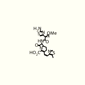 CO/N=C(/C(=O)NC1C(=O)N2C(C(=O)O)=C(/C=C\c3ncsc3C)CCC12)c1csc(N)n1